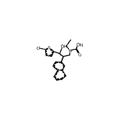 CCN(CC(c1ccc2ccccc2c1)C(O)c1ccc(Cl)s1)C(=O)O